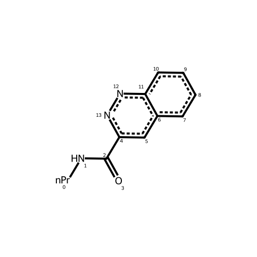 CCCNC(=O)c1cc2ccccc2nn1